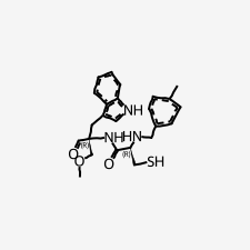 COC[C@@](C=O)(Cc1c[nH]c2ccccc12)NC(=O)[C@H](CS)NCc1ccc(C)cc1